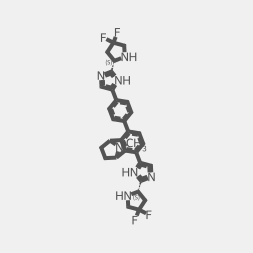 CN1C2CCC1c1c(-c3cnc([C@@H]4CC(F)(F)CN4)[nH]3)ccc(-c3ccc(-c4cnc([C@@H]5CC(F)(F)CN5)[nH]4)cc3)c12